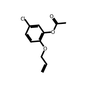 C=CCOc1ccc(Cl)cc1OC(C)=O